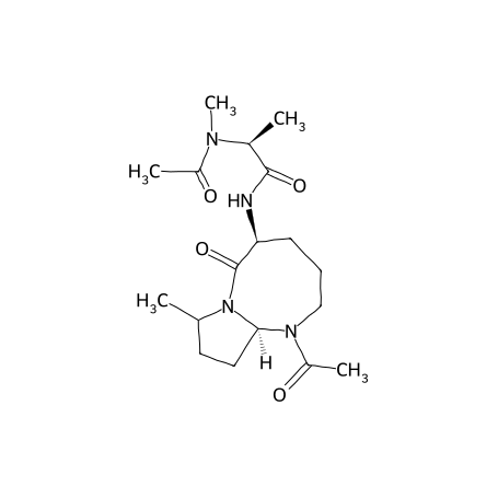 CC(=O)N(C)[C@@H](C)C(=O)N[C@H]1CCCN(C(C)=O)[C@H]2CCC(C)N2C1=O